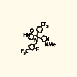 CNc1cc(C2=C(c3ccc(C(F)(F)F)cc3)C3C(=O)NC=CC3N2Cc2ccc(C(F)(F)F)cc2F)ccn1